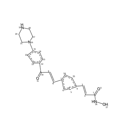 O=C(/C=C/c1ccc(/C=C/C(=O)c2ccc(N3CCNCC3)cc2)cc1)NO